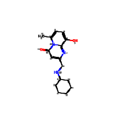 Cc1ccc(O)c2nc(CNC3CCCCC3)cc(=O)n12